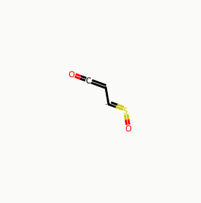 O=C=C[C]=S=O